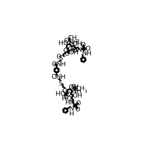 CC(=O)N[C@H]1[C@H]([C@H](O)[C@H](O)CNc2c(NCc3ccccc3)c(=O)c2=O)O[C@@](OCCCSCCNC(=O)c2ccc(C(=O)NCC[S+]([O-])CCCO[C@]3(C(=O)O)C[C@H](O)[C@@H](NC(C)=O)[C@H]([C@H](O)[C@H](O)CNc4c(NCc5ccccc5)c(=O)c4=O)O3)cc2)(C(=O)O)C[C@@H]1O